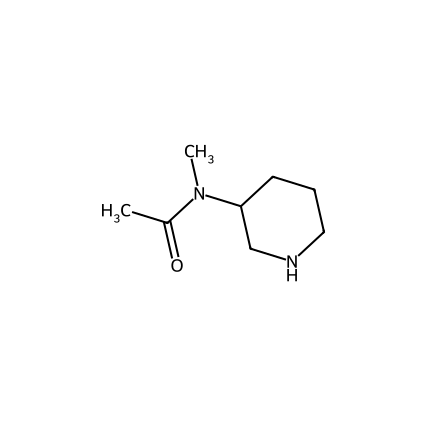 CC(=O)N(C)C1CCCNC1